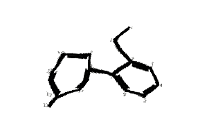 CCc1ccccc1-c1[c]ccc(C)c1